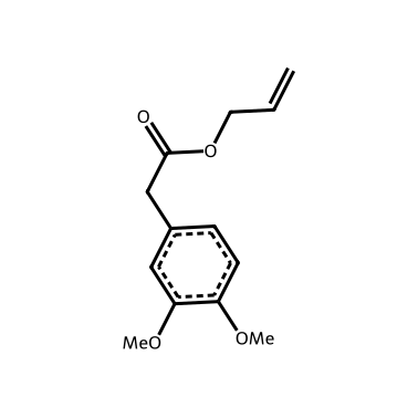 C=CCOC(=O)Cc1ccc(OC)c(OC)c1